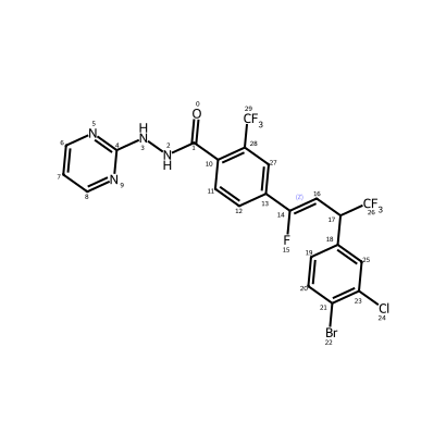 O=C(NNc1ncccn1)c1ccc(/C(F)=C/C(c2ccc(Br)c(Cl)c2)C(F)(F)F)cc1C(F)(F)F